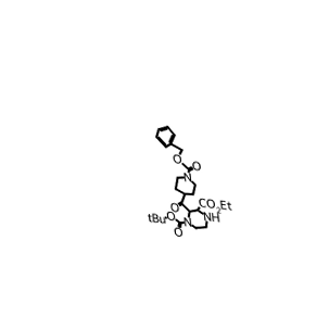 CCOC(=O)C1NCCN(C(=O)OC(C)(C)C)C1C(=O)C1CCN(C(=O)OCc2ccccc2)CC1